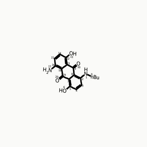 CCCCNc1ccc(O)c2c1C(=O)c1c(O)ccc(N)c1C2=O